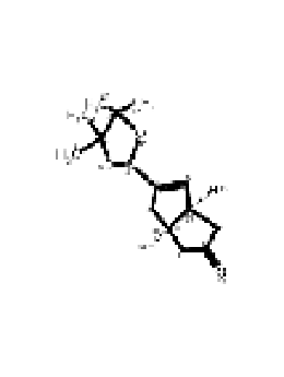 CC1(C)OB(C2=C[C@H]3CC(=O)C[C@H]3C2)OC1(C)C